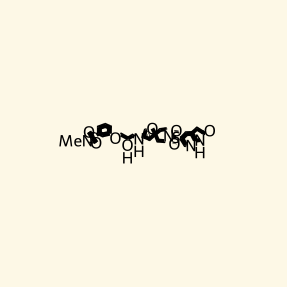 CNS(=O)(=O)c1cccc(OCC(O)CN[C@H]2COC3(CCN(S(=O)(=O)c4cnc5c(c4)CC(=O)N5)CC3)C2)c1